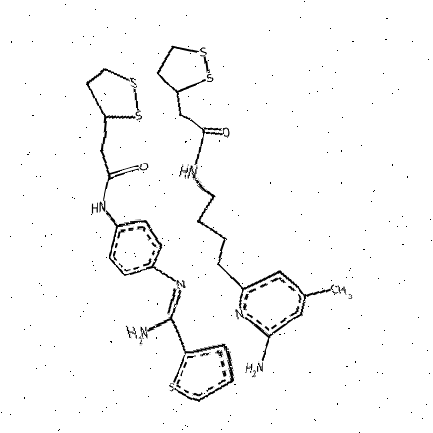 Cc1cc(N)nc(CCCCNC(=O)CC2CCSS2)c1.NC(=Nc1ccc(NC(=O)CC2CCSS2)cc1)c1cccs1